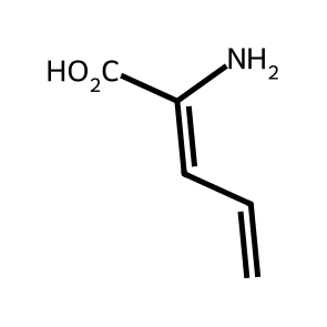 C=CC=C(N)C(=O)O